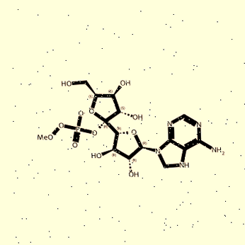 COOP([O])(=O)O[C@]1([C@@H]2O[C@@H](N3CNc4c(N)ncnc43)[C@H](O)[C@H]2O)O[C@@H](CO)[C@@H](O)[C@@H]1O